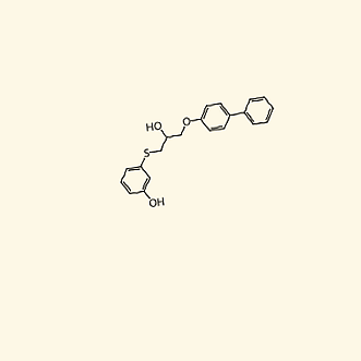 Oc1cccc(SCC(O)COc2ccc(-c3ccccc3)cc2)c1